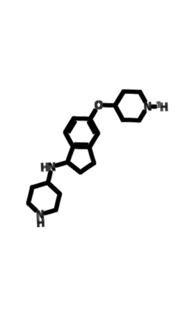 [3H]N1CCC(Oc2ccc3c(c2)CCC3NC2CCNCC2)CC1